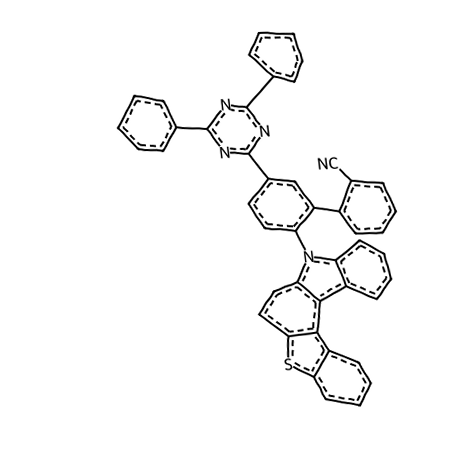 N#Cc1ccccc1-c1cc(-c2nc(-c3ccccc3)nc(-c3ccccc3)n2)ccc1-n1c2ccccc2c2c3c(ccc21)sc1ccccc13